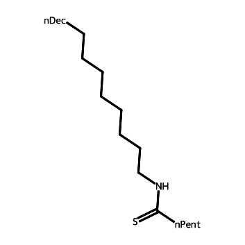 CCCCCCCCCCCCCCCCCCNC(=S)CCCCC